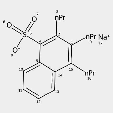 CCCc1c(CCC)c(S(=O)(=O)[O-])c2ccccc2c1CCC.[Na+]